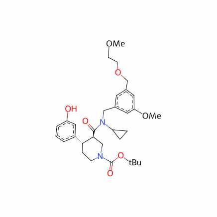 COCCOCc1cc(CN(C(=O)[C@H]2CN(C(=O)OC(C)(C)C)CC[C@@H]2c2cccc(O)c2)C2CC2)cc(OC)c1